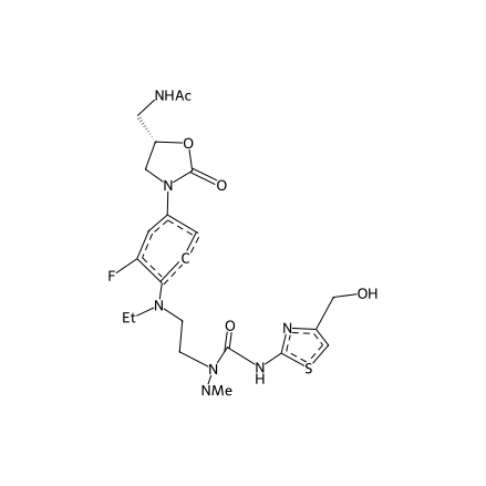 CCN(CCN(NC)C(=O)Nc1nc(CO)cs1)c1ccc(N2C[C@H](CNC(C)=O)OC2=O)cc1F